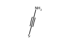 NC#C[S]